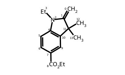 C=C1N(CC)c2ccc(C(=O)OCC)cc2C1(C)C